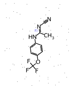 C/C(=N\C#N)Nc1ccc(OC(F)(F)F)cc1